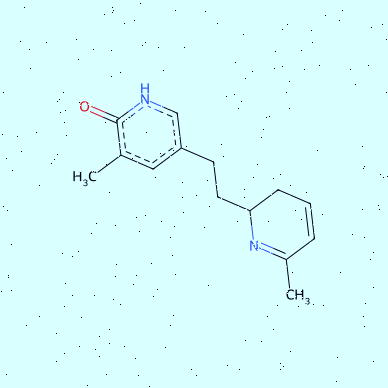 CC1=NC(CCc2c[nH]c(=O)c(C)c2)CC=C1